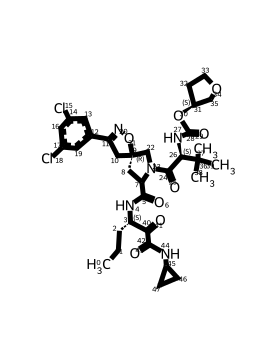 CCC[C@H](NC(=O)C1C[C@@]2(CC(c3cc(Cl)cc(Cl)c3)=NO2)CN1C(=O)[C@@H](NC(=O)O[C@H]1CCOC1)C(C)(C)C)C(=O)C(=O)NC1CC1